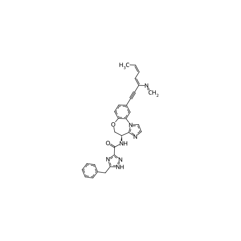 C=N/C(C#Cc1ccc2c(c1)-n1ccnc1[C@@H](NC(=O)c1n[nH]c(Cc3ccccc3)n1)CO2)=C\C=C/C